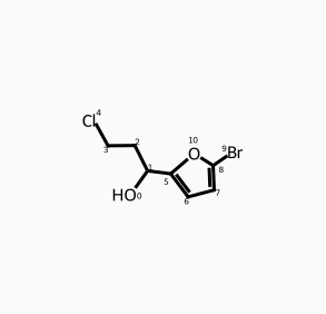 OC(CCCl)c1ccc(Br)o1